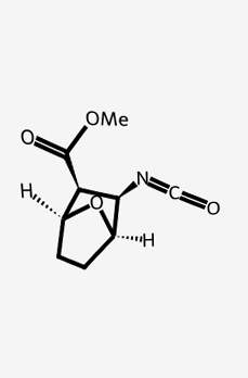 COC(=O)[C@H]1[C@@H](N=C=O)[C@H]2CC[C@@H]1O2